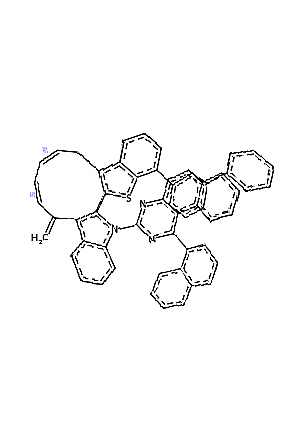 C=C1/C=C\C=C/Cc2c(sc3c(-c4cccc(-c5ccccc5)c4)cccc23)-c2c1c1ccccc1n2-c1nc(-c2cccc3ccccc23)c2c(ccc3ccccc32)n1